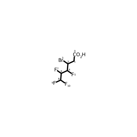 O=C(O)CC(Br)C(F)C(F)C(F)F